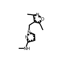 CNc1ccn(Cc2c(C)noc2C)n1